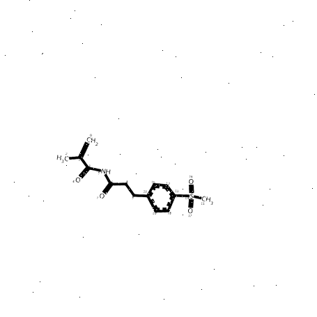 C=C(C)C(=O)NC(=O)CCc1ccc(S(C)(=O)=O)cc1